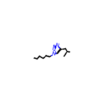 CCCCCCn1cc(CC(C)C)nn1